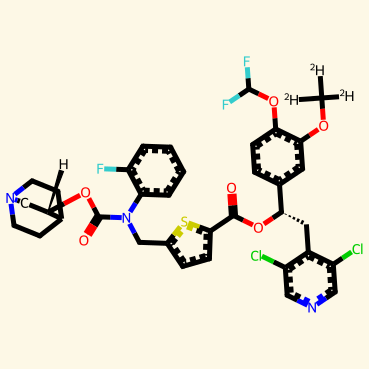 [2H]C([2H])([2H])Oc1cc([C@H](Cc2c(Cl)cncc2Cl)OC(=O)c2ccc(CN(C(=O)O[C@H]3CN4CCC3CC4)c3ccccc3F)s2)ccc1OC(F)F